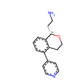 NCC[C@@H]1OCCc2c(-c3ccncc3)cccc21